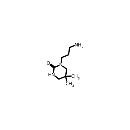 CC1(C)CNC(=O)N(CCCN)C1